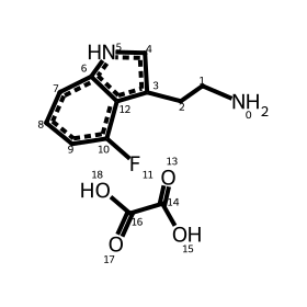 NCCc1c[nH]c2cccc(F)c12.O=C(O)C(=O)O